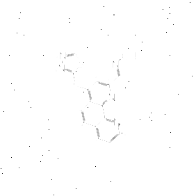 C/N=C/c1cc(Sc2nncs2)c2ccc3cccnc3c2n1